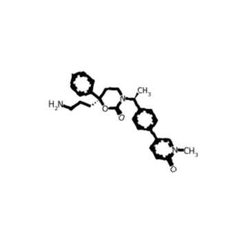 C[C@@H](c1ccc(-c2ccc(=O)n(C)c2)cc1)N1CC[C@](CCCN)(c2ccccc2)OC1=O